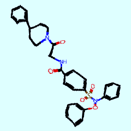 O=C(NCC(=O)N1CCC(c2ccccc2)CC1)c1ccc(S(=O)(=O)N(Oc2ccccc2)c2ccccc2)cc1